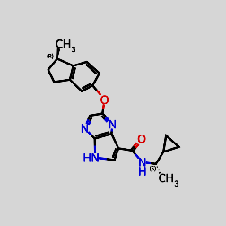 C[C@@H]1CCc2cc(Oc3cnc4[nH]cc(C(=O)N[C@@H](C)C5CC5)c4n3)ccc21